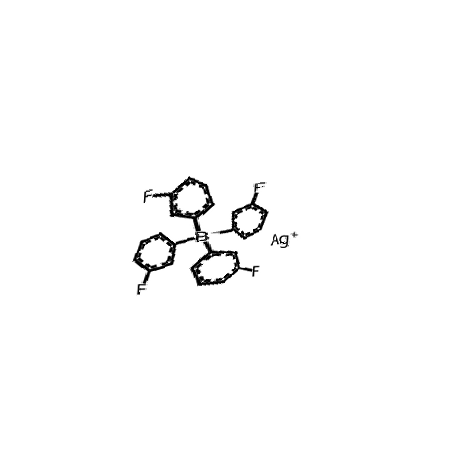 Fc1cccc([B-](c2cccc(F)c2)(c2cccc(F)c2)c2cccc(F)c2)c1.[Ag+]